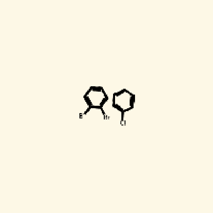 Brc1ccccc1Br.Clc1ccccc1